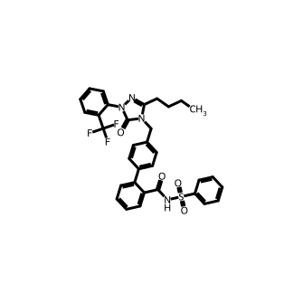 CCCCc1nn(-c2ccccc2C(F)(F)F)c(=O)n1Cc1ccc(-c2ccccc2C(=O)NS(=O)(=O)c2ccccc2)cc1